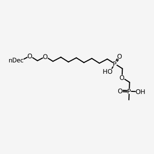 CCCCCCCCCCOCOCCCCCCCCP(=O)(O)COCP(C)(=O)O